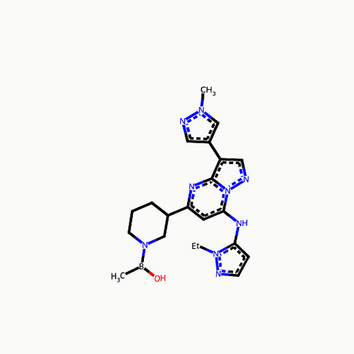 CCn1nccc1Nc1cc(C2CCCN(B(C)O)C2)nc2c(-c3cnn(C)c3)cnn12